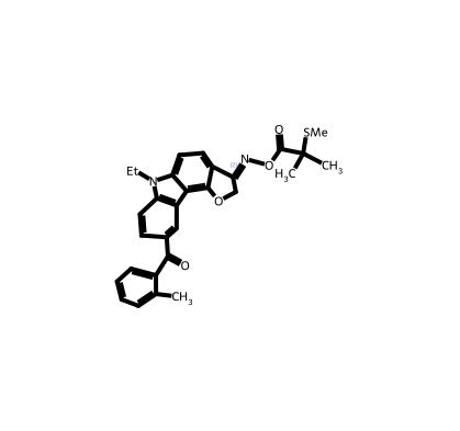 CCn1c2ccc(C(=O)c3ccccc3C)cc2c2c3c(ccc21)/C(=N/OC(=O)C(C)(C)SC)CO3